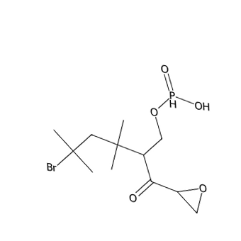 CC(C)(Br)CC(C)(C)C(CO[PH](=O)O)C(=O)C1CO1